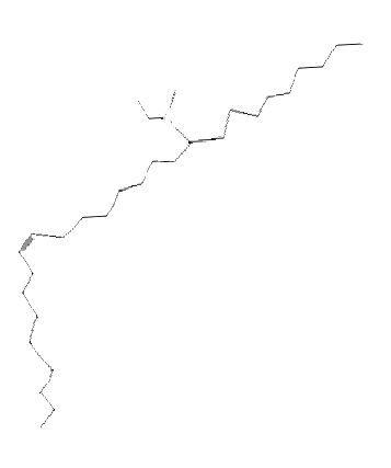 CCCCCCCC/C=C\CCCCCCCC(CCCCCCCCC)N(C)CC